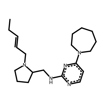 CCC=CCN1CCCC1CNc1nccc(N2CCCCCC2)n1